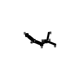 C[SiH](C)N=C=O